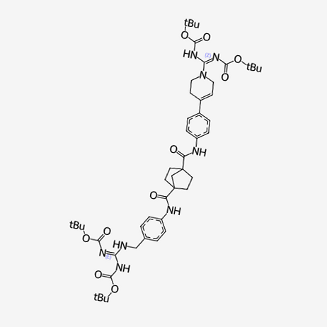 CC(C)(C)OC(=O)/N=C(/NC(=O)OC(C)(C)C)N1CC=C(c2ccc(NC(=O)C34CCC(C(=O)Nc5ccc(CN/C(=N\C(=O)OC(C)(C)C)NC(=O)OC(C)(C)C)cc5)(CC3)C4)cc2)CC1